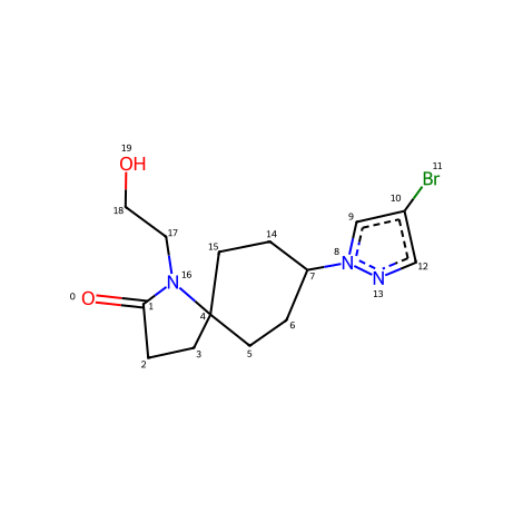 O=C1CCC2(CCC(n3cc(Br)cn3)CC2)N1CCO